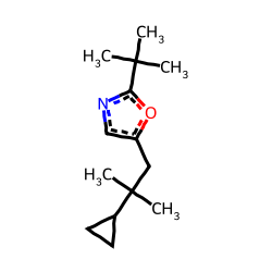 CC(C)(C)c1ncc(CC(C)(C)C2CC2)o1